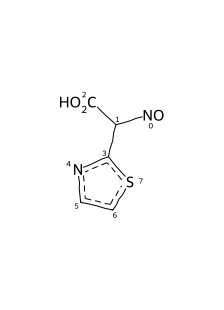 O=NC(C(=O)O)c1nccs1